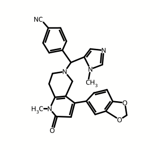 Cn1cncc1C(c1ccc(C#N)cc1)N1CCc2c(c(-c3ccc4c(c3)OCO4)cc(=O)n2C)C1